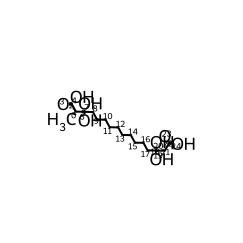 CC(C(=O)O)C(O)(O)CCCCCCCCCCC(O)(O)CC(=O)O